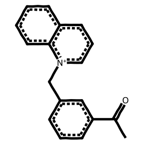 CC(=O)c1cccc(C[n+]2cccc3ccccc32)c1